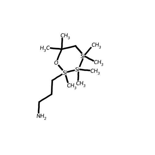 CC1(C)C[Si](C)(C)[Si](C)(C)[Si](C)(CCCN)O1